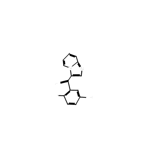 Cc1ccc(O)c(C(=O)c2cnc3ccccn23)c1